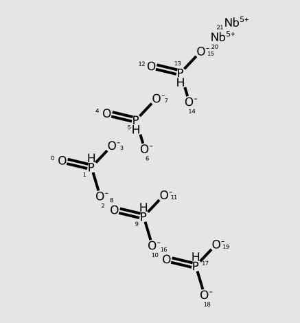 O=[PH]([O-])[O-].O=[PH]([O-])[O-].O=[PH]([O-])[O-].O=[PH]([O-])[O-].O=[PH]([O-])[O-].[Nb+5].[Nb+5]